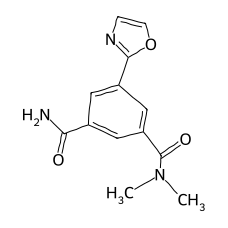 CN(C)C(=O)c1cc(C(N)=O)cc(-c2ncco2)c1